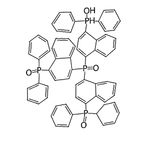 O=P(c1ccccc1)(c1ccccc1)c1ccc(P(=O)(c2ccc(P(=O)(c3ccccc3)C3C=CC=CC3)c3ccccc23)c2ccc([PH](O)(c3ccccc3)c3ccccc3)c3ccccc23)c2ccccc12